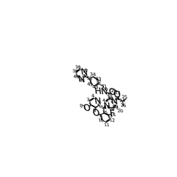 COc1ccncc1Oc1cccc(F)c1CN1C[C@@H](C)N(C(=O)C(C)C)[C@@H](C(=O)NCc2ccc(-c3ncccn3)cc2)C1